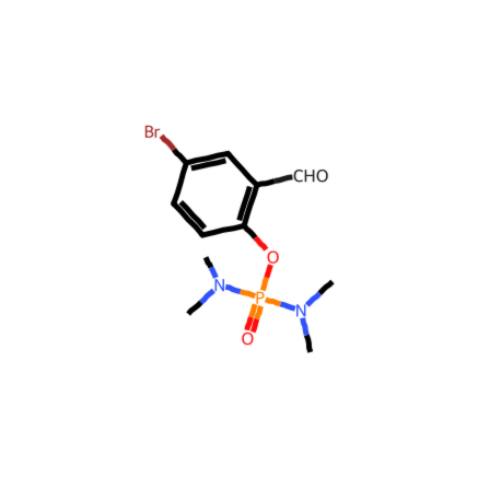 CN(C)P(=O)(Oc1ccc(Br)cc1C=O)N(C)C